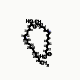 CCCCCC/C=C\CCCCCCCC(=O)O.CCCCCCCCCCC/C=C\CCCCC(=O)O